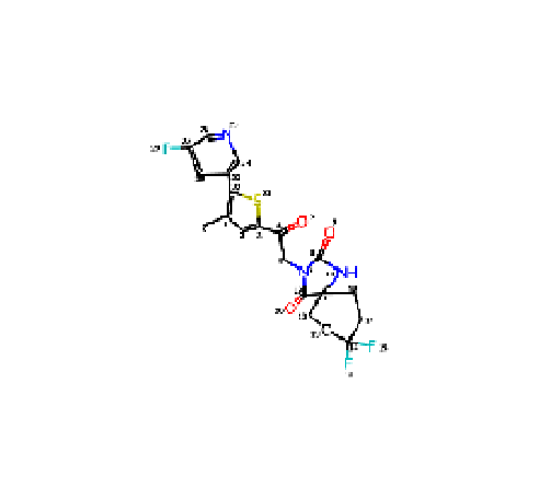 Cc1cc(C(=O)CN2C(=O)NC3(CCC(F)(F)CC3)C2=O)sc1-c1cncc(F)c1